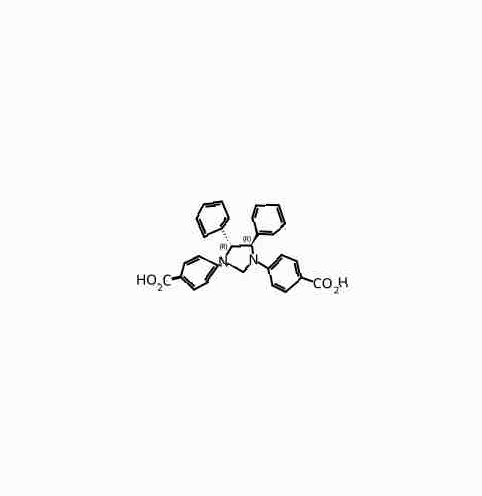 O=C(O)c1ccc(N2CN(c3ccc(C(=O)O)cc3)[C@H](c3ccccc3)[C@H]2c2ccccc2)cc1